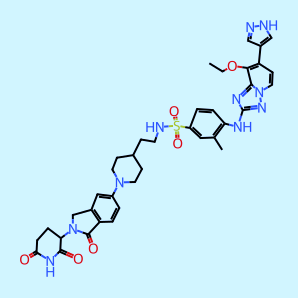 CCOc1c(-c2cn[nH]c2)ccn2nc(Nc3ccc(S(=O)(=O)NCCC4CCN(c5ccc6c(c5)CN(C5CCC(=O)NC5=O)C6=O)CC4)cc3C)nc12